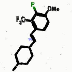 COc1ccc(/C=C/C2CCC(C)CC2)c(C(F)(F)F)c1F